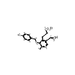 CCOC(=O)CCc1c(CO)cnc(C)c1OCc1ccc(C#N)cc1